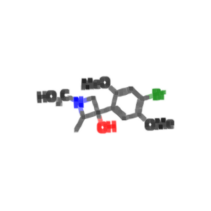 COc1cc(C2(O)CN(C(=O)O)C2C)c(OC)cc1Br